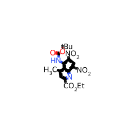 CCOC(=O)c1cc(C)c2c(NC(=O)OC(C)(C)C)c([N+](=O)[O-])cc([N+](=O)[O-])c2n1